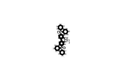 O=P(c1ccc(-c2ccc(P(=O)(C3CCCCC3)C3CCCCC3)cc2C(F)(F)F)c(C(F)(F)F)c1)(C1CCCCC1)C1CCCCC1